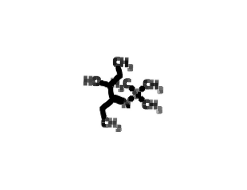 CCC(=N[Si](C)(C)C)C(O)CC